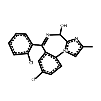 Cc1cn2c(n1)C(O)N=C(c1ccccc1Cl)c1cc(Cl)ccc1-2